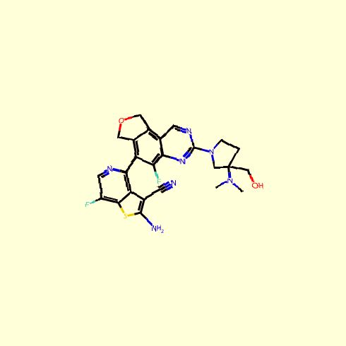 CN(C)C1(CO)CCN(c2ncc3c4c(c(-c5ncc(F)c6sc(N)c(C#N)c56)c(F)c3n2)COC4)C1